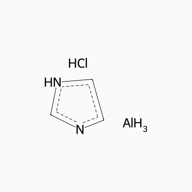 Cl.[AlH3].c1c[nH]cn1